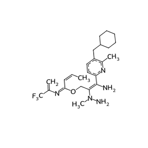 C=C(/N=C(\C=C/C)OC/C(=C(/N)c1ccc(CC2CCCCC2)c(C)n1)N(C)N)C(F)(F)F